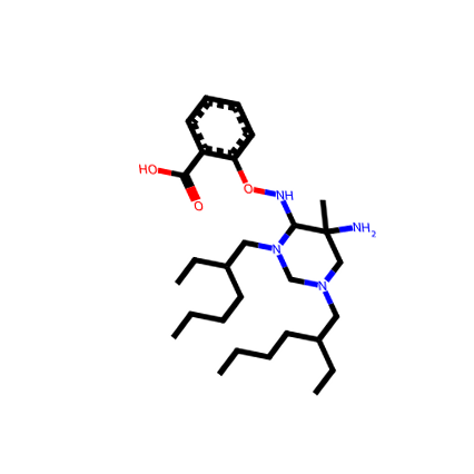 CCCCC(CC)CN1CN(CC(CC)CCCC)C(NOc2ccccc2C(=O)O)C(C)(N)C1